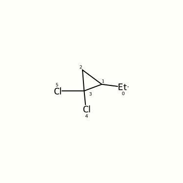 C[CH]C1CC1(Cl)Cl